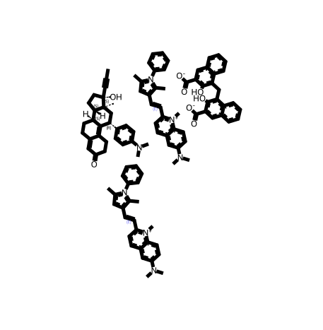 CC#C[C@]1(O)CC[C@H]2[C@@H]3CCC4=CC(=O)CCC4=C3[C@@H](c3ccc(N(C)C)cc3)C[C@@]21C.Cc1cc(/C=C/c2ccc3cc(N(C)C)ccc3[n+]2C)c(C)n1-c1ccccc1.Cc1cc(/C=C/c2ccc3cc(N(C)C)ccc3[n+]2C)c(C)n1-c1ccccc1.O=C([O-])c1cc2ccccc2c(Cc2c(O)c(C(=O)[O-])cc3ccccc23)c1O